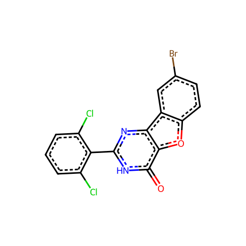 O=c1[nH]c(-c2c(Cl)cccc2Cl)nc2c1oc1ccc(Br)cc12